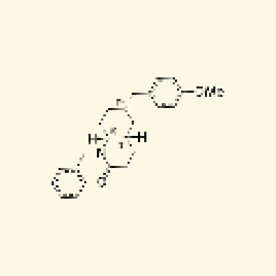 COc1ccc(C[C@H]2CC[C@@H]3[C@@H](CCC(=O)N3Cc3ccccc3)C2)cc1